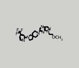 COCCn1ncc2ncc(N3CCC4(CCN(c5cc(C(F)(F)F)ccn5)C4)CC3)nc21